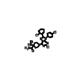 CCNC1(C(N)=O)CCN(c2nc(Cl)nc3c2nc(-c2ccccc2Cl)n3-c2ccc(Cl)cc2)CC1